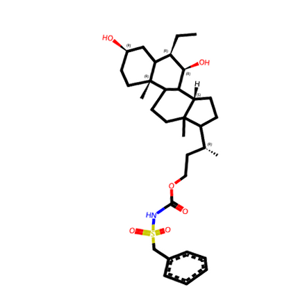 CC[C@@H]1C2C[C@H](O)CC[C@@]2(C)C2CCC3(C)C([C@H](C)CCOC(=O)NS(=O)(=O)Cc4ccccc4)CC[C@H]3C2[C@@H]1O